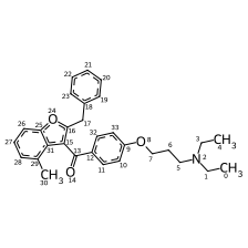 CCN(CC)CCCOc1ccc(C(=O)c2c(Cc3ccccc3)oc3cccc(C)c23)cc1